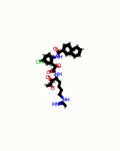 CC(=N)NCCCCC(NC(=O)C(=O)c1cc(Cl)ccc1NC(=O)c1ccc2ccccc2c1)C(=O)C(C)=O